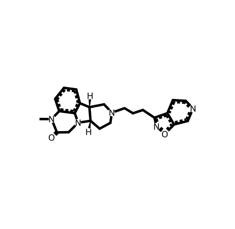 CN1C(=O)CN2c3c(cccc31)[C@@H]1CN(CCCc3noc4cnccc34)CC[C@@H]12